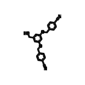 N#Cc1ccc(COc2cc(CO)cc(OCc3ccc(C#N)cc3)c2)cc1